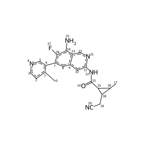 Cc1ccncc1-c1cc2cc(NC(=O)C3C(C)C3CC#N)ncc2c(N)c1F